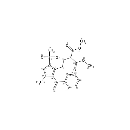 COC(=O)C(CCn1c(S(C)(=O)=O)cc(C)c1C(=O)c1ccccc1)C(=O)OC